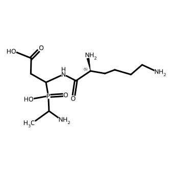 CC(N)P(=O)(O)C(CC(=O)O)NC(=O)[C@@H](N)CCCCN